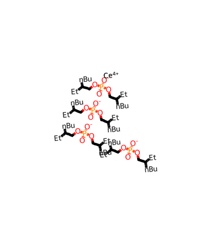 CCCCC(CC)COP(=O)([O-])OCC(CC)CCCC.CCCCC(CC)COP(=O)([O-])OCC(CC)CCCC.CCCCC(CC)COP(=O)([O-])OCC(CC)CCCC.CCCCC(CC)COP(=O)([O-])OCC(CC)CCCC.[Ce+4]